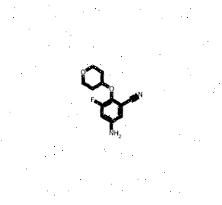 N#Cc1cc(N)cc(F)c1OC1CCOCC1